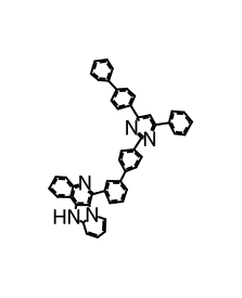 C1=CC2Nc3c(c(-c4cccc(-c5ccc(-c6nc(-c7ccccc7)cc(-c7ccc(-c8ccccc8)cc7)n6)cc5)c4)nc4ccccc34)N2C=C1